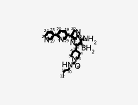 Bc1c(C2CCN(C(=O)NCCI)CC2)nc2c(-c3ccc(-c4cccnc4)nc3)cnn2c1N